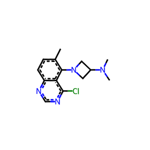 Cc1ccc2ncnc(Cl)c2c1N1CC(N(C)C)C1